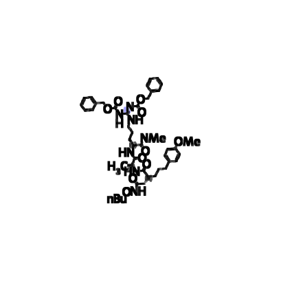 CCCCONC(=O)C[C@@H](CCCc1ccc(OC)cc1)C(=O)N[C@@H](C)C(=O)N[C@@H](CCCN/C(=N\C(=O)OCc1ccccc1)NC(=O)OCc1ccccc1)C(=O)NC